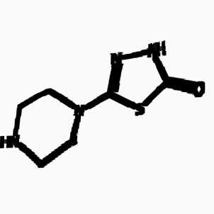 O=c1[nH]nc(N2CCNCC2)s1